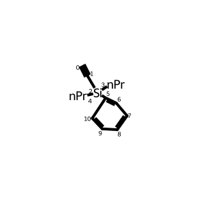 C#C[Si](CCC)(CCC)c1ccccc1